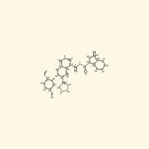 O=C(CNc1ncnc2ccc(N3CCC[C@@H]3c3cc(F)ccc3F)nc12)c1c[nH]c2ccccc12